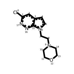 Clc1cc2ccn(CCN3CCOCC3)c2nn1